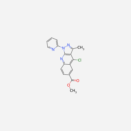 COC(=O)c1ccc2nc3c(c(C)nn3-c3ccccn3)c(Cl)c2c1